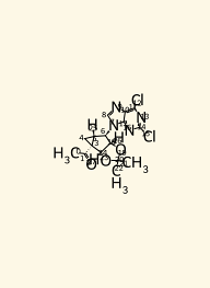 CC(=O)[C@]12C[C@@H]1[C@@H](n1cnc3c(Cl)nc(Cl)nc31)[C@@H]1OC(C)(C)O[C@@H]12